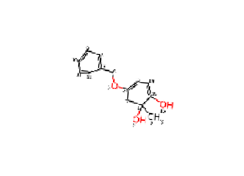 CC1(O)CC(OCc2ccccc2)=CC=C1O